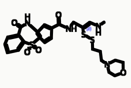 CN/C=C(/CNC(=O)c1ccc2c(c1)NC(=O)c1ccccc1S2(=O)=O)SSCCCN1CCOCC1